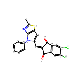 Cc1nc2c(cc(C=C3C(=O)c4cc(Cl)c(Cl)cc4C3=O)n2-c2ccccc2)s1